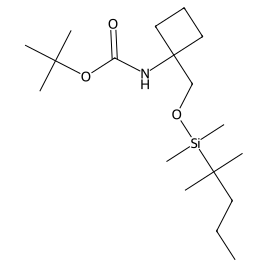 CCCC(C)(C)[Si](C)(C)OCC1(NC(=O)OC(C)(C)C)CCC1